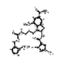 CCn1nc(C)cc1C(=O)Nc1nc2cc(C(N)=O)cc(OC)c2n1CCCNC(=O)OCc1ccsc1C(=O)O